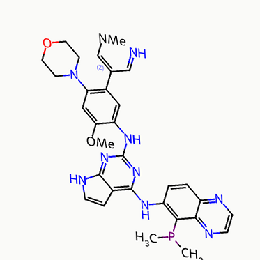 CN/C=C(\C=N)c1cc(Nc2nc(Nc3ccc4nccnc4c3P(C)C)c3cc[nH]c3n2)c(OC)cc1N1CCOCC1